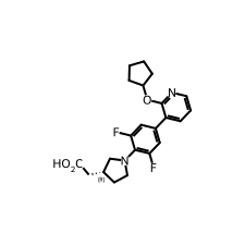 O=C(O)C[C@H]1CCN(c2c(F)cc(-c3cccnc3OC3CCCC3)cc2F)C1